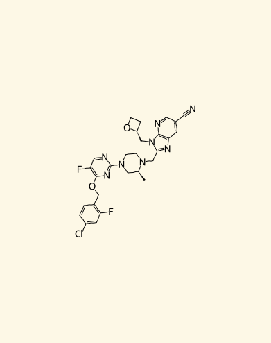 C[C@H]1CN(c2ncc(F)c(OCc3ccc(Cl)cc3F)n2)CCN1Cc1nc2cc(C#N)cnc2n1C[C@@H]1CCO1